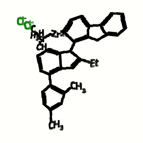 CCC1=Cc2c(-c3ccc(C)cc3C)cccc2C1c1[c]([Zr+2][SiH](C)C)ccc2c1Cc1ccccc1-2.[Cl-].[Cl-]